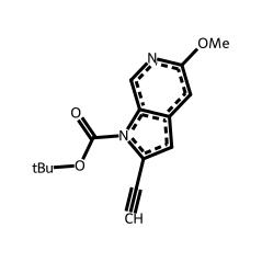 C#Cc1cc2cc(OC)ncc2n1C(=O)OC(C)(C)C